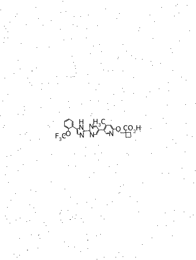 Cc1cc(OCC2(C(=O)O)CCC2)ncc1-c1cnc(-c2ncc(-c3ccccc3OC(F)(F)F)[nH]2)nc1